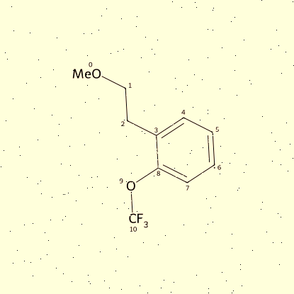 COCCc1cc[c]cc1OC(F)(F)F